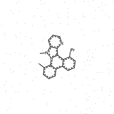 Cc1cccc2c3cccc(C(C)C)c3c3c4ncccc4[n+](C)n3c12